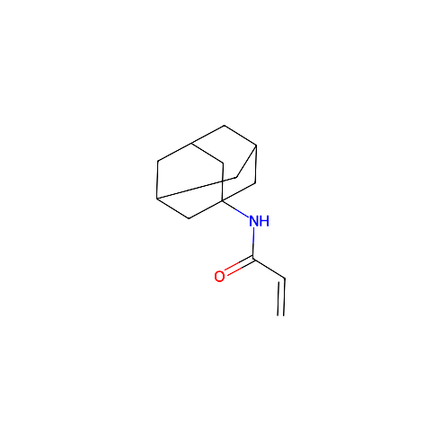 C=CC(=O)NC12CC3CC(CC(C3)C1)C2